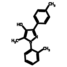 Cc1ccc(-c2nn(-c3ccccc3C)c(C)c2O)cc1